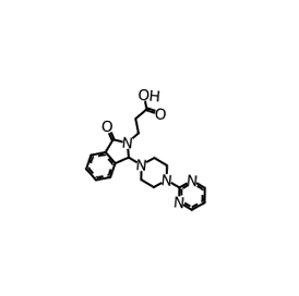 O=C(O)CCN1C(=O)c2ccccc2C1N1CCN(c2ncccn2)CC1